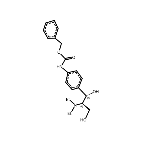 CCN(CC)[C@H](CO)[C@@H](O)c1ccc(NC(=O)OCc2ccccc2)cc1